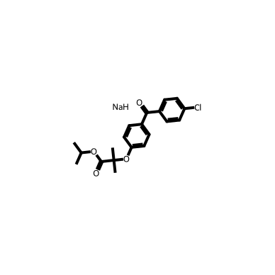 CC(C)OC(=O)C(C)(C)Oc1ccc(C(=O)c2ccc(Cl)cc2)cc1.[NaH]